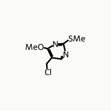 COc1nc(SC)ncc1CCl